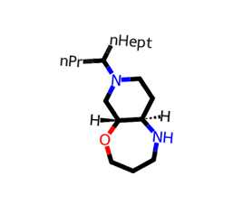 CCCCCCCC(CCC)N1CC[C@H]2NCCCO[C@@H]2C1